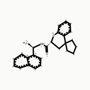 C[C@@H](NC(=O)[C@H]1CC2(CCCC2)c2ccccc2O1)c1cccc2ccccc12